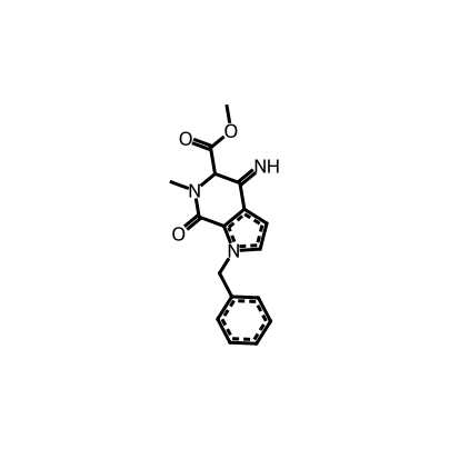 COC(=O)C1C(=N)c2ccn(Cc3ccccc3)c2C(=O)N1C